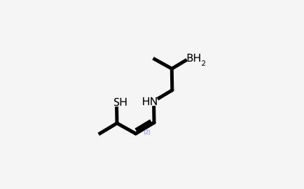 BC(C)CN/C=C\C(C)S